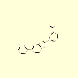 O=C(O)c1cccc(-c2nc3cc(-c4ccccc4)ccc3s2)n1